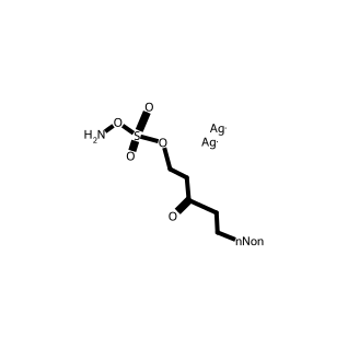 CCCCCCCCCCCC(=O)CCOS(=O)(=O)ON.[Ag].[Ag]